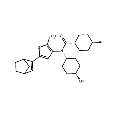 C[C@H]1CC[C@H](C(=O)N(c2cc(C3=CC4CCC3C4)sc2C(=O)O)[C@H]2CC[C@H](O)CC2)CC1